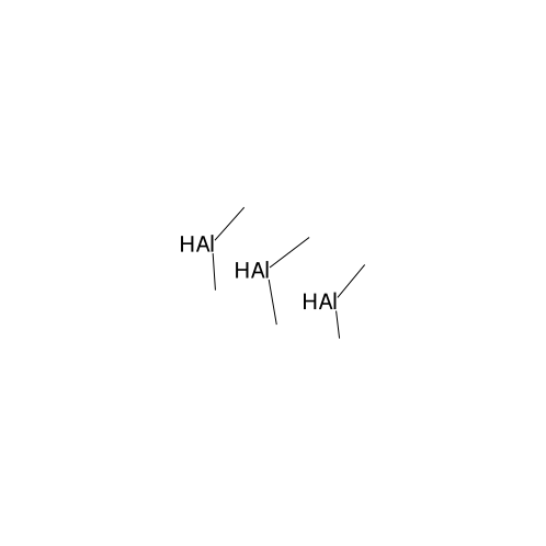 [CH3][AlH][CH3].[CH3][AlH][CH3].[CH3][AlH][CH3]